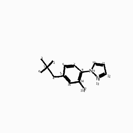 CC(C)(C)Cc1ccc(-n2cccn2)c(F)c1